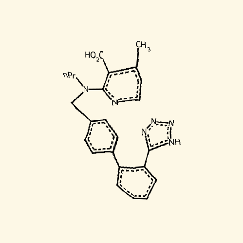 CCCN(Cc1ccc(-c2ccccc2-c2nnn[nH]2)cc1)c1nccc(C)c1C(=O)O